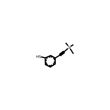 C[Si](C)(C)C#Cc1cccc(S)c1